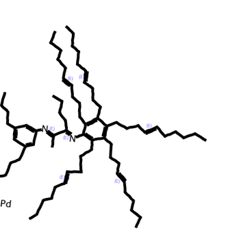 CCCCC/C=C/CCCc1c(CCC/C=C/CCCCC)c(CCC/C=C/CCCCC)c(/N=C(CCCC)/C(C)=N/c2cc(CCCC)cc(CCCC)c2)c(CCC/C=C/CCCCC)c1CCC/C=C/CCCCC.[Pd]